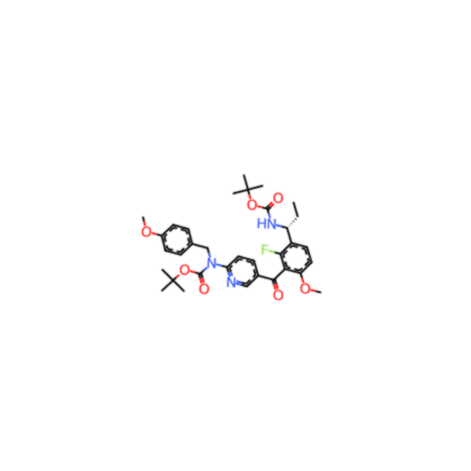 CC[C@@H](NC(=O)OC(C)(C)C)c1ccc(OC)c(C(=O)c2ccc(N(Cc3ccc(OC)cc3)C(=O)OC(C)(C)C)nc2)c1F